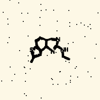 CCNC1=NC2c3cc(C)sc3C=CC2C=N1